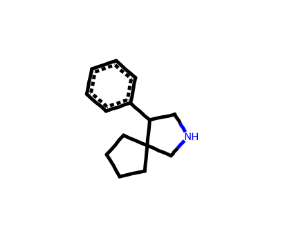 c1ccc(C2CNCC23CCCC3)cc1